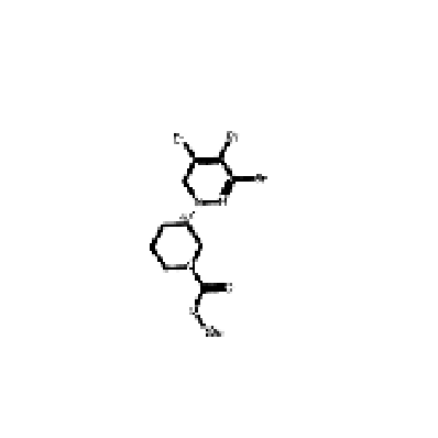 CCC1=C(Br)C(Br)=NN([C@H]2CCCN(C(=O)OC(C)(C)C)C2)C1